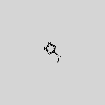 [CH2]Oc1cnns1